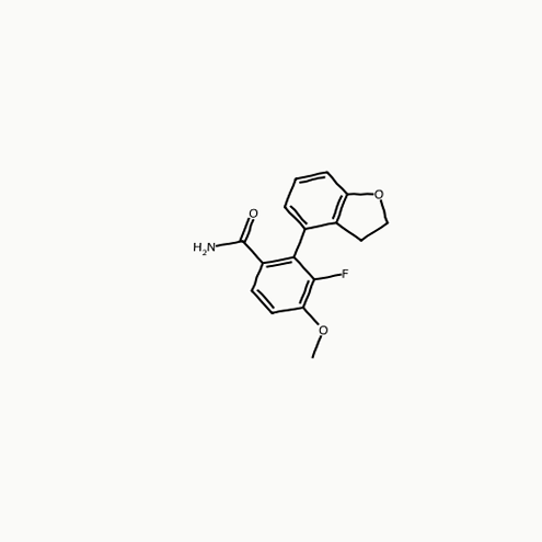 COc1ccc(C(N)=O)c(-c2cccc3c2CCO3)c1F